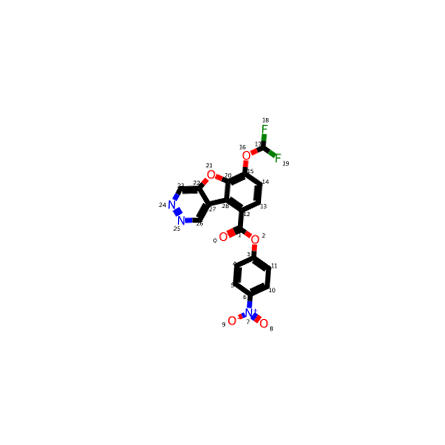 O=C(Oc1ccc([N+](=O)[O-])cc1)c1ccc(OC(F)F)c2oc3cnncc3c12